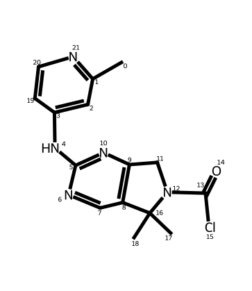 Cc1cc(Nc2ncc3c(n2)CN(C(=O)Cl)C3(C)C)ccn1